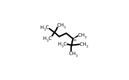 C[C@H](C[CH]C(C)(C)C)C(C)(C)C